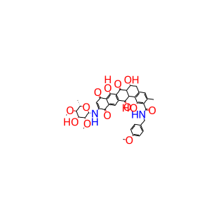 COc1ccc(CNC(=O)c2c(C)cc3c(c2O)C2C(=O)c4cc5c(c(O)c4C(=O)C2[C@H](O)C3)C(=O)C=C(N[C@H]2O[C@@H](C)[C@H](OC)[C@@H](O)[C@H]2OC)C5=O)cc1